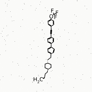 C=CCC[C@H]1CC[C@H](CCc2ccc(-c3ccc(C#Cc4ccc(OC(F)(F)F)cc4)cc3)cc2)CC1